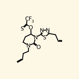 C=CCCN1CCC(OC(=S)C(F)(F)F)N(c2nnc(CC=C)s2)C1=O